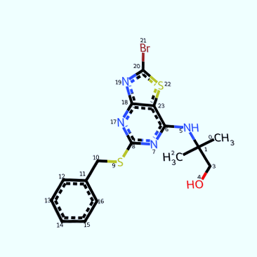 CC(C)(CO)Nc1nc(SCc2ccccc2)nc2nc(Br)sc12